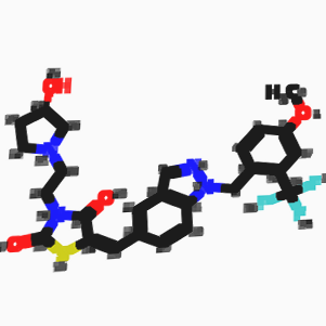 COc1ccc(Cn2ncc3cc(C=C4SC(=O)N(CCN5CC[C@H](O)C5)C4=O)ccc32)c(C(F)(F)F)c1